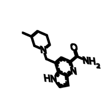 CC1CCCN(Cc2cc(C(N)=O)nc3cc[nH]c23)C1